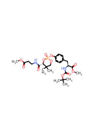 COC(=O)CCNC(=O)[C@@H]1O[P@](=O)(Oc2ccc(C[C@H](NC(=O)OC(C)(C)C)C(=O)OC)cc2)OCC1(C)C